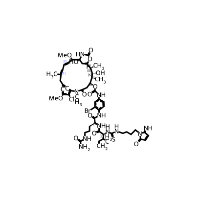 C=CC(C)[C@H](NC(=S)NCCCCN1C(=N)C=CC1=O)C(=O)N[C@@H](CCCNC(N)=O)C(=O)Nc1ccc(NC(=O)O[C@H]2CC(=O)N(C)c3cc(cc(OC)c3Cl)C/C(C)=C/C=C/[C@@H](OC)[C@@]3(O)C[C@H](OC(=O)N3)[C@@H](C)[C@H](O)[C@@H]2C)cc1Br